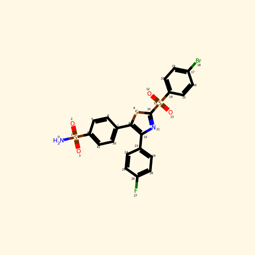 NS(=O)(=O)c1ccc(-c2sc(S(=O)(=O)c3ccc(Br)cc3)nc2-c2ccc(F)cc2)cc1